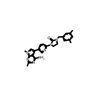 Cc1cc(C)cc(CN2CCN(c3ccc(-c4cn(C)c5nc(C)nc(N)c45)cn3)C2=O)c1